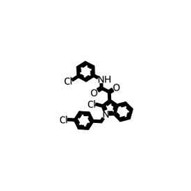 O=C(Nc1cccc(Cl)c1)C(=O)c1c(Cl)n(Cc2ccc(Cl)cc2)c2ccccc12